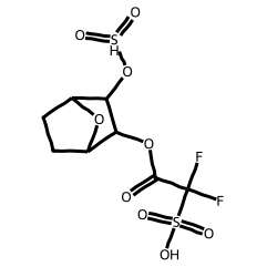 O=C(OC1C2CCC(O2)C1O[SH](=O)=O)C(F)(F)S(=O)(=O)O